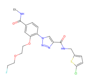 CCNC(=O)c1ccc(-n2cc(C(=O)NCc3ccc(Cl)s3)nn2)c(OCCOCCF)c1